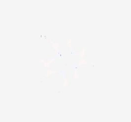 CCON(OCC)[Si](N(OCC)OCC)(N(OCC)OCC)N(OCC)OCC